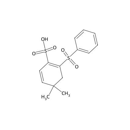 CC1(C)C=CC(S(=O)(=O)O)=C(S(=O)(=O)c2ccccc2)C1